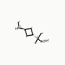 CN[C@H]1C[C@H](C(C)(C)O)C1